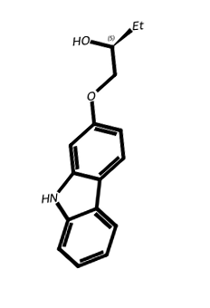 CC[C@H](O)COc1ccc2c(c1)[nH]c1ccccc12